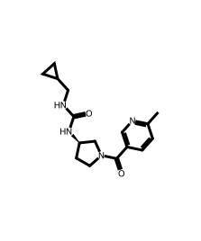 Cc1ccc(C(=O)N2CC[C@@H](NC(=O)NCC3CC3)C2)cn1